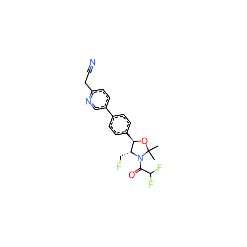 CC1(C)O[C@H](c2ccc(-c3ccc(CC#N)nc3)cc2)[C@@H](CF)N1C(=O)C(F)F